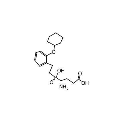 N[C@@H](CCC(=O)O)P(=O)(O)CCc1ccccc1OC1CCCCC1